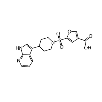 O=C(O)c1coc(S(=O)(=O)N2CCC(c3c[nH]c4ncccc34)CC2)c1